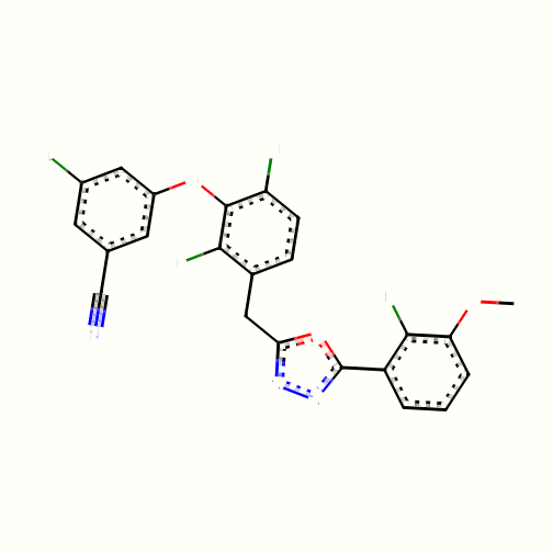 COc1cccc(-c2nnc(Cc3ccc(Cl)c(Oc4cc(Cl)cc(C#N)c4)c3F)o2)c1F